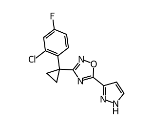 Fc1ccc(C2(c3noc(-c4cc[nH]n4)n3)CC2)c(Cl)c1